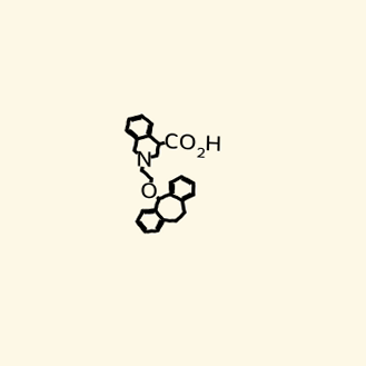 O=C(O)C1CN(CCOC2c3ccccc3CCc3ccccc32)Cc2ccccc21